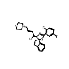 O=C(CCCN1CCOCC1)N1N=C(c2cc(F)ccc2F)SC12CCc1ccccc12